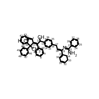 C/C=C\C(=C(\c1ccccc1)C(C)c1ccc(C/C=C(\N=C(/N)c2ccccc2)C2=CC=CCC2)cc1)C(C)(c1ccccc1)c1ccccc1